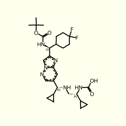 CC(C)(C)OC(=O)N[C@H](c1cn2ncc([C@H](NC[C@H](NC(=O)O)C3CC3)C3CC3)cc2n1)C1CCC(F)(F)CC1